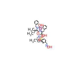 CC[C@H](C)[C@@H](C(=O)N[C@@H](Cc1ccccc1)[C@H](O)CN(CC(C)C)S(=O)(=O)c1ccc(C=NO)cc1)N(Cc1ccccc1)C(=O)O